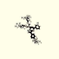 CN(C)S(=O)(=O)c1ccc(-c2cnn3c(N(COCC[Si](C)(C)C)COCC[Si](C)(C)C)cc(C4CCCNC4)nc23)cc1